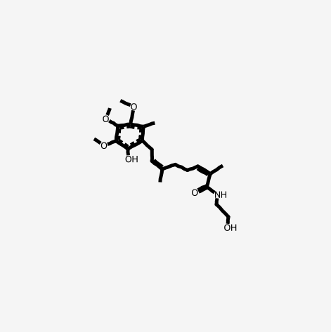 COc1c(C)c(CC=C(C)CCC=C(C)C(=O)NCCO)c(O)c(OC)c1OC